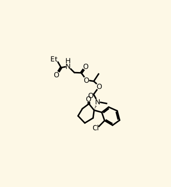 CCC(=O)NCC(=O)OC(C)OC(=O)N(C)[C@]1(c2ccccc2Cl)CCCCC1=O